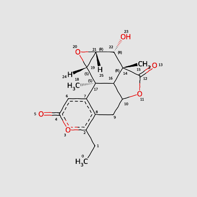 CCc1oc(=O)cc2c1CC1OC(=O)[C@]3(C)C1[C@]2(C)[C@@H]1O[C@@H]1[C@@H]3O